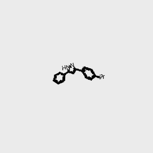 CC(C)c1ccc(-c2cc(-c3ccccc3)[nH]n2)cc1